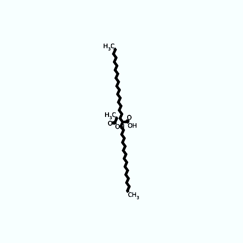 CCC(=O)O.CCCCCCCCCCCCCCCCCCCC(CCCCCCCCCCCCCCCCCC)C(=O)O